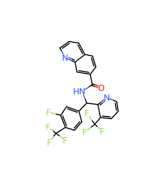 O=C(NC(c1ccc(C(F)(F)F)c(F)c1)c1ncccc1C(F)(F)F)c1ccc2cccnc2c1